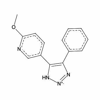 COc1ccc(C2=C(c3ccccc3)N=[N+]N2)cn1